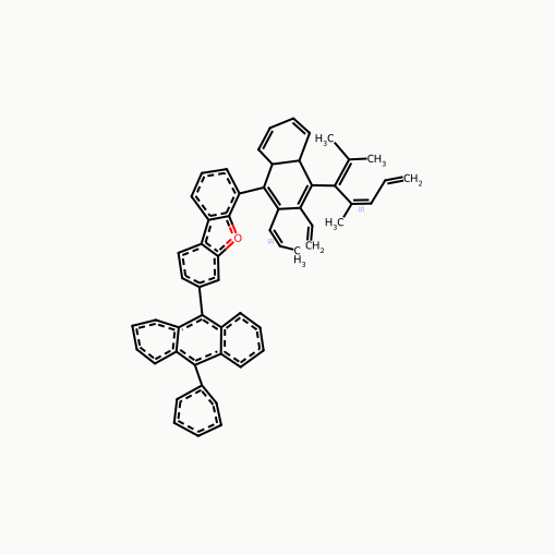 C=C/C=C(/C)C(=C(C)C)C1=C(C=C)C(/C=C\C)=C(c2cccc3c2oc2cc(-c4c5ccccc5c(-c5ccccc5)c5ccccc45)ccc23)C2C=CC=CC12